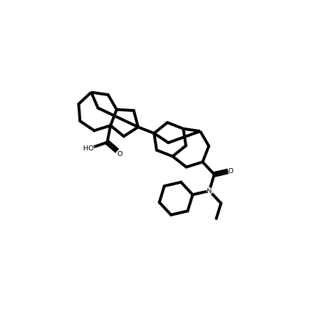 CCN(C(=O)C1CC2CC3CC(C45CC6CCCC(C(=O)O)(C4)C(C6)C5)(C2)CC3C1)C1CCCCC1